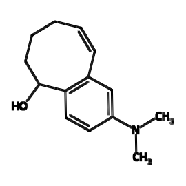 CN(C)c1ccc2c(c1)C=CCCCC2O